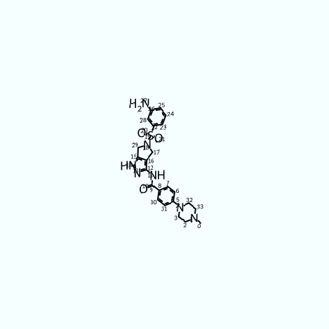 CN1CCN(c2ccc(C(=O)Nc3n[nH]c4c3CN(S(=O)(=O)c3cccc(N)c3)C4)cc2)CC1